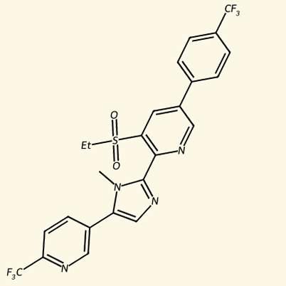 CCS(=O)(=O)c1cc(-c2ccc(C(F)(F)F)cc2)cnc1-c1ncc(-c2ccc(C(F)(F)F)nc2)n1C